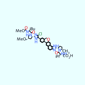 CCC(C)C(NC(=O)OC)C(=O)N1C[C@@H](COC)C[C@H]1c1nc(Cl)c(-c2ccc3c(c2)COc2cc4c(ccc5nc([C@@H]6CC[C@H](C)N6C(=O)C(NC(=O)O)C(C)C)[nH]c54)cc2-3)[nH]1